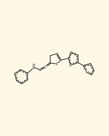 C(=NNc1ccccc1)=C1CC=C(c2ccc(-c3cccs3)s2)S1